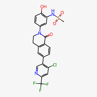 CS(=O)(=O)Nc1cc(N2CCc3cc(-c4cnc(C(F)(F)F)cc4Cl)ccc3C2=O)ccc1O